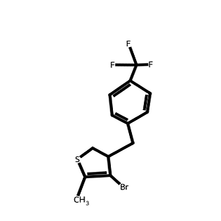 CC1=C(Br)C(Cc2ccc(C(F)(F)F)cc2)CS1